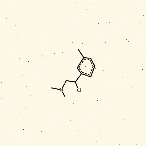 Cc1cccc(C(Cl)CN(C)C)c1